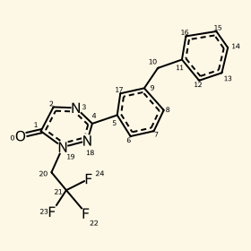 O=c1cnc(-c2cccc(Cc3ccccc3)c2)nn1CC(F)(F)F